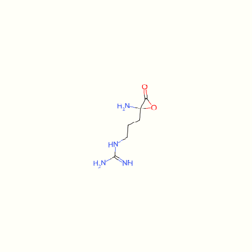 N=C(N)NCCCC1(N)OC1=O